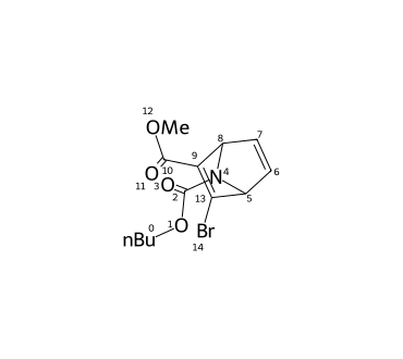 CCCCOC(=O)N1C2C=CC1C(C(=O)OC)=C2Br